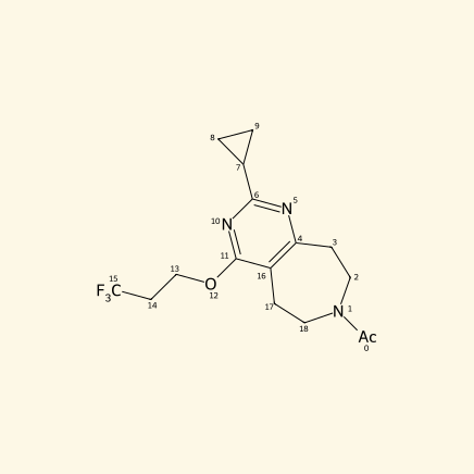 CC(=O)N1CCc2nc(C3CC3)nc(OCCC(F)(F)F)c2CC1